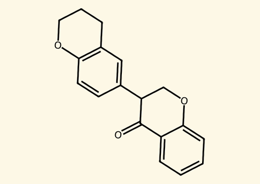 O=C1c2ccccc2OCC1c1ccc2c(c1)CCCO2